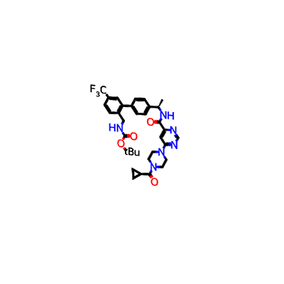 C[C@@H](NC(=O)c1cc(N2CCN(C(=O)C3CC3)CC2)ncn1)c1ccc(-c2cc(C(F)(F)F)ccc2CNC(=O)OC(C)(C)C)cc1